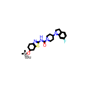 CC(C)(C)[Si](C)(C)OC1CCc2nc(NC(=O)N3CCC(N4CCc5ccc(F)cc54)CC3)sc2C1